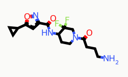 NCCCC(=O)N1CCC(NC(=O)c2cc(C3CC3)on2)C(F)(F)C1